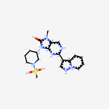 Cn1c(=O)n([C@H]2CCCN(S(C)(=O)=O)C2)c2nc(-c3cnn4ccccc34)ncc21